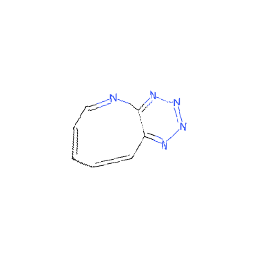 C1=CC=Nc2nnnnc2C=C1